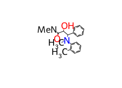 CNC(=O)C(O)C(c1ccccc1)N(C)c1ccccc1C